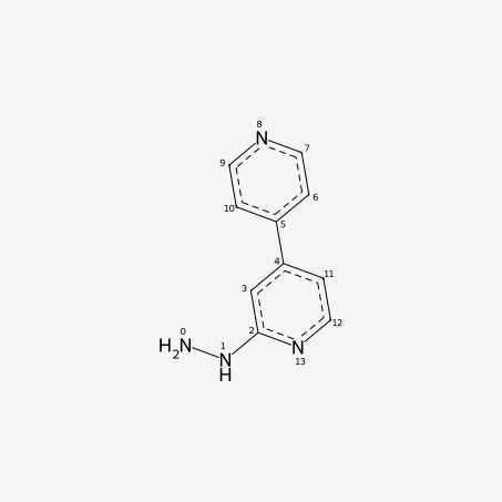 NNc1cc(-c2ccncc2)ccn1